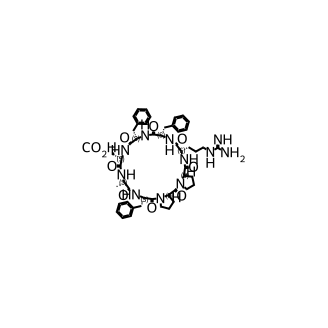 C[C@@H]1NC(=O)[C@H](CC(=O)O)NC(=O)[C@H](Cc2ccccc2)NC(=O)[C@H](Cc2ccccc2)NC(=O)[C@H](CCCNC(=N)N)NC(=O)[C@@H]2CCCN2C(=O)[C@H]2CCCN2C(=O)[C@H](Cc2ccccc2)NC1=O